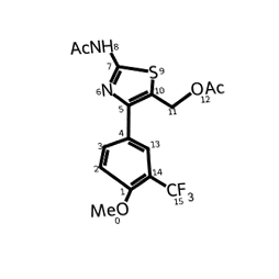 COc1ccc(-c2nc(NC(C)=O)sc2COC(C)=O)cc1C(F)(F)F